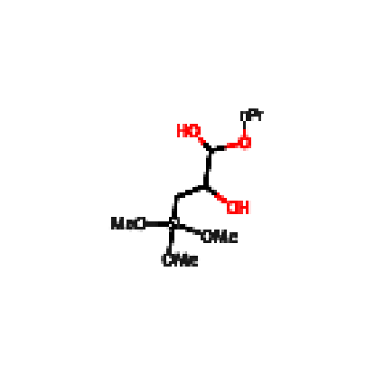 CCCOC(O)C(O)C[Si](OC)(OC)OC